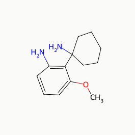 COc1cccc(N)c1C1(N)CCCCC1